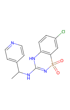 CC(NC1=NS(=O)(=O)c2cc(Cl)ccc2N1)c1ccncc1